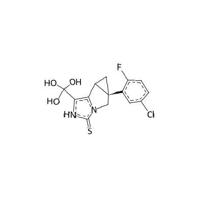 OC(O)(O)c1[nH]c(=S)n2c1C1C[C@]1(c1cc(Cl)ccc1F)C2